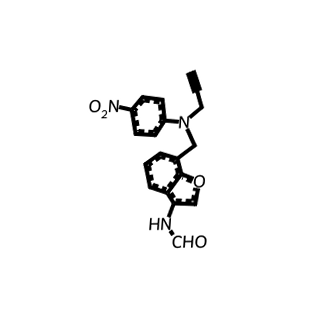 C#CCN(Cc1cccc2c(NC=O)coc12)c1ccc([N+](=O)[O-])cc1